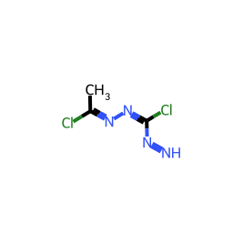 C/C(Cl)=N\N=C(\Cl)N=N